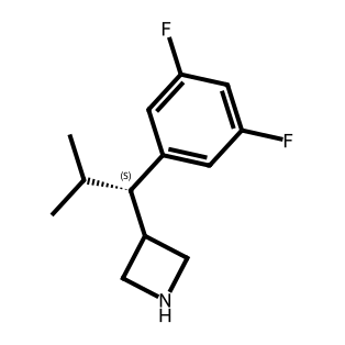 CC(C)[C@H](c1cc(F)cc(F)c1)C1CNC1